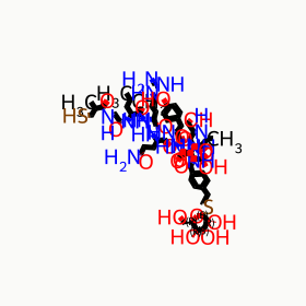 CC(C)CC(NC(=O)CNC(=O)C(C)CS)C(=O)NC(CCCNC(=N)N)C(=O)NC(CCC(N)=O)C(=O)NC(Cc1ccc(O)cc1)C(=O)NC(=O)C(CC(=O)O)NC(=O)C(CO)NC(C)C(=O)NC(C=O)NC(=O)c1ccc(CCS[C@@H]2O[C@H](CO)[C@H](O)[C@H](O)[C@H]2O)cc1